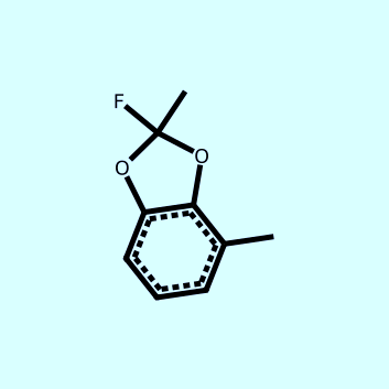 Cc1cccc2c1OC(C)(F)O2